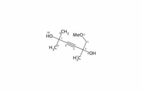 COCC(C)(O)C#CC(C)(C)O